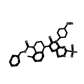 COC1CCC(n2c(=O)c(N3CCN(C(=O)OCc4ccccc4)c4c(C)cccc43)cc3cnc(S(C)(=O)=O)nc32)CC1